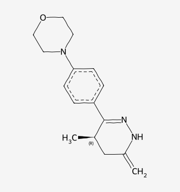 C=C1C[C@@H](C)C(c2ccc(N3CCOCC3)cc2)=NN1